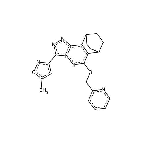 Cc1cc(-c2nnc3c4c(c(OCc5ccccn5)nn23)C2CCC4CC2)no1